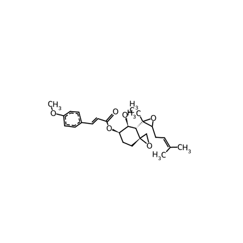 COc1ccc(/C=C/C(=O)O[C@@H]2CC[C@]3(CO3)[C@@H](C3(C)OC3CC=C(C)C)[C@@H]2OC)cc1